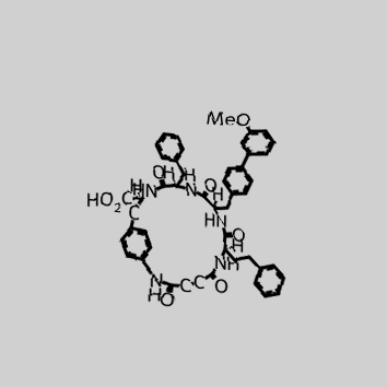 COc1cccc(-c2ccc(C[C@@H]3NC(=O)[C@@H](CCc4ccccc4)NC(=O)CCC(=O)Nc4ccc(cc4)C[C@@H](C(=O)O)NC(=O)[C@@H](Cc4ccccc4)NC3=O)cc2)c1